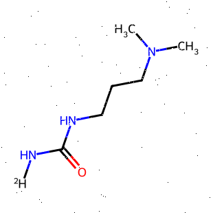 [2H]NC(=O)NCCCN(C)C